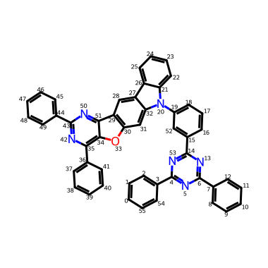 c1ccc(-c2nc(-c3ccccc3)nc(-c3cccc(-n4c5ccccc5c5cc6c(cc54)oc4c(-c5ccccc5)nc(-c5ccccc5)nc46)c3)n2)cc1